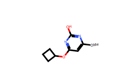 COc1cc(OC2CCC2)nc(O)n1